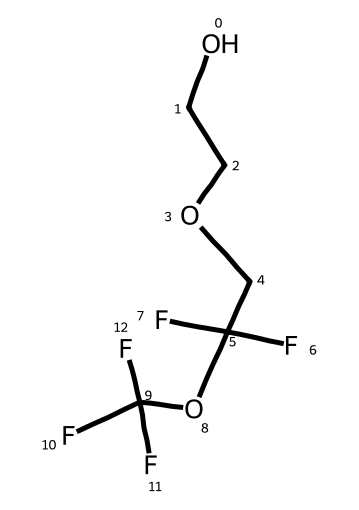 OCCOCC(F)(F)OC(F)(F)F